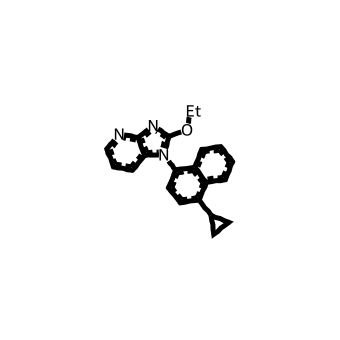 CCOc1nc2ncccc2n1-c1ccc(C2CC2)c2ccccc12